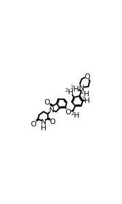 [2H]c1cc(C([2H])Oc2cccc3c2CN(C2CCC(=O)NC2=O)C3=O)cc([2H])c1C([2H])([2H])N1CCOCC1